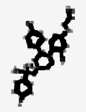 C[C@@](O)(CN1CCN(c2ccc(OCCO)cc2Cl)[C@H](c2ccc(Cl)cc2)C1)c1ccc(F)cc1